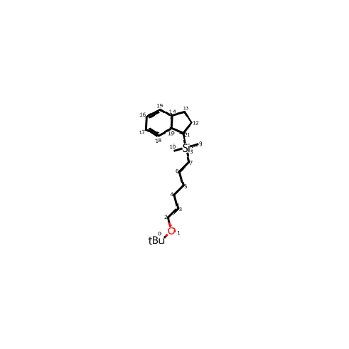 CC(C)(C)OCCCCCC[Si](C)(C)C1CCC2C=CC=CC21